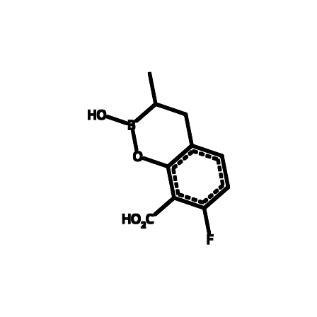 CC1Cc2ccc(F)c(C(=O)O)c2OB1O